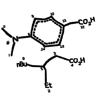 CCCCC(CC)CC(=O)O.CN(C)c1ccc(C(=O)O)cc1